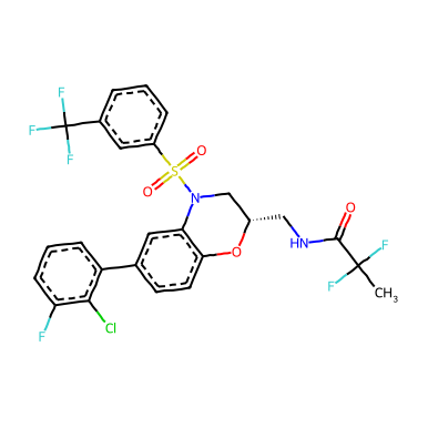 CC(F)(F)C(=O)NC[C@H]1CN(S(=O)(=O)c2cccc(C(F)(F)F)c2)c2cc(-c3cccc(F)c3Cl)ccc2O1